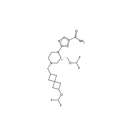 NC(=O)c1cnc(N2CCN(CC3CC4(C3)CC(OC(F)F)C4)C[C@H]2COC(F)F)s1